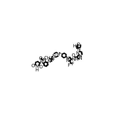 Cn1c(=O)n(C2CCC(=O)NC2=O)c2cccc(N3CC(F)(CN4CCN(C[C@H]5CC[C@H](n6cc(NC(=O)c7cnn8ccc(N9C[C@H]%10CC9CO%10)nc78)c(C(F)F)n6)CC5)CC4)C3)c21